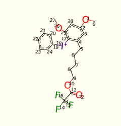 COc1cc(CCCCCOC(=O)C(F)(F)F)c([I+]c2ccccc2)c(OC)c1